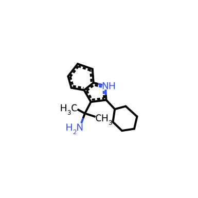 CC(C)(N)c1c(C2CCCCC2)[nH]c2ccccc12